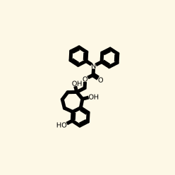 O=C(OCC1(O)CCCc2c(O)cccc2C1O)N(c1ccccc1)c1ccccc1